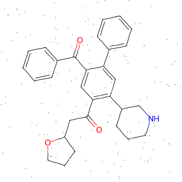 O=C(c1ccccc1)c1cc(C(=O)CC2CCCO2)c(C2CCCNC2)cc1-c1ccccc1